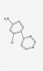 Nc1ccc(-c2ccncn2)c(Cl)c1